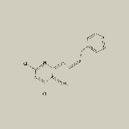 C=c1c(Cl)nc(Cl)n/c1=C/C=C\Cc1ccccc1